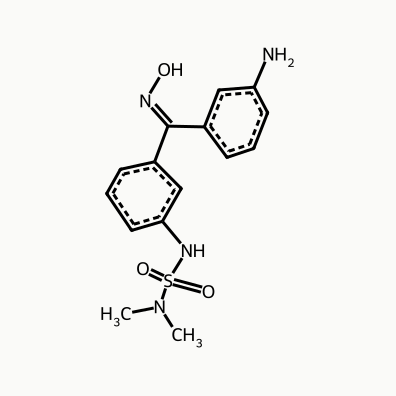 CN(C)S(=O)(=O)Nc1cccc(C(=NO)c2cccc(N)c2)c1